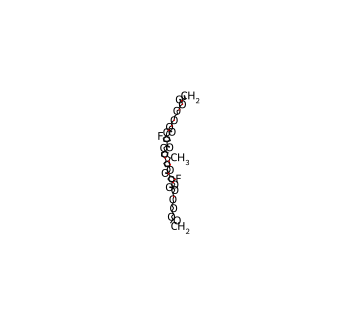 C=CC(=O)OCCOCCOCCOC(=O)Oc1ccc(C(=O)Oc2ccc3c(c2)C(C)c2cc(OC(=O)c4ccc(OC(=O)OCCOCCOCCOC(=O)C=C)c(F)c4)ccc2-3)cc1F